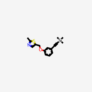 Cc1ncc(COc2cccc(C#C[Si](C)(C)C)c2)s1